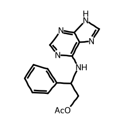 CC(=O)OCC(Nc1ncnc2[nH]cnc12)c1ccccc1